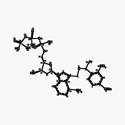 COc1ccc(C(OCc2cn([C@H]3C[C@@H](O)[C@@H](COP(=O)(O)OP(=O)(O)OP(=O)(O)O)O3)c3nccc(N)c23)C(C)C)c([N+](=O)[O-])c1